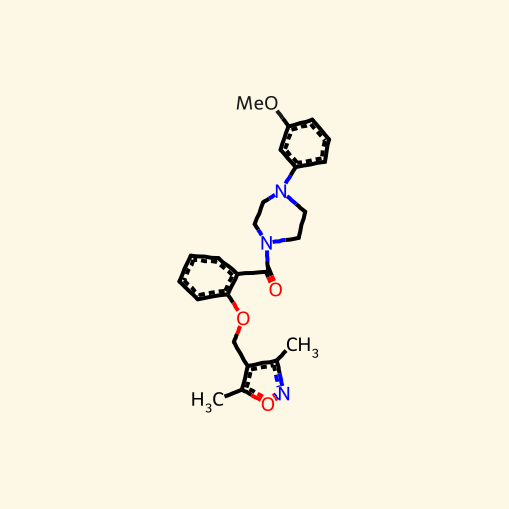 COc1cccc(N2CCN(C(=O)c3ccccc3OCc3c(C)noc3C)CC2)c1